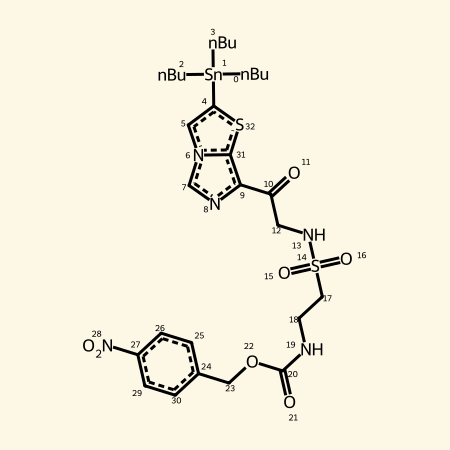 CCC[CH2][Sn]([CH2]CCC)([CH2]CCC)[c]1cn2cnc(C(=O)CNS(=O)(=O)CCNC(=O)OCc3ccc([N+](=O)[O-])cc3)c2s1